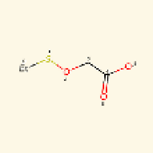 [CH2]CSOCC([O])=O